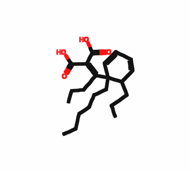 CCCCCCC1(C(CCC)=C(C(=O)O)C(=O)O)C=CC=CC1CCC